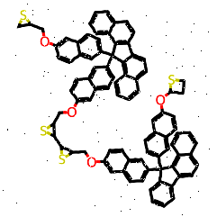 c1ccc2c(c1)-c1ccc3ccccc3c1C2(c1ccc2cc(OCC3SC3C3SC3COc3ccc4cc(C5(c6ccc7cc(OCC8CS8)ccc7c6)c6c(ccc7ccccc67)-c6ccc7ccccc7c65)ccc4c3)ccc2c1)c1ccc2cc(OC3CCS3)ccc2c1